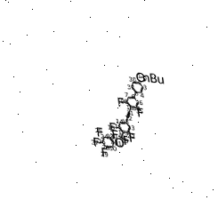 CCCCOc1ccc(-c2cc(F)c(C#Cc3cc(F)c(C(F)(F)OC4=CC(F)C(F)C(F)=C4)c(F)c3)c(F)c2)cc1